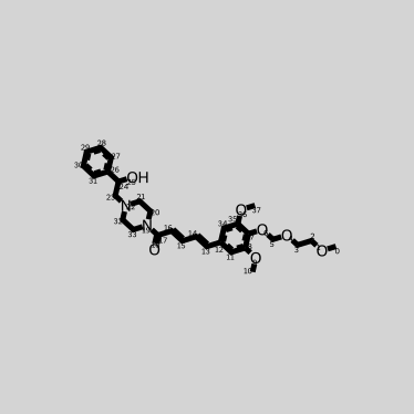 COCCOCOc1c(OC)cc(C=CC=CC(=O)N2CCN(CC(O)c3ccccc3)CC2)cc1OC